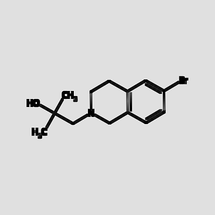 CC(C)(O)CN1CCc2cc(Br)ccc2C1